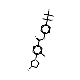 O=C(Nc1ccc(C(F)(F)C(F)(F)Cl)cc1)c1cnc(N2CC[C@@H](O)C2)c(Br)c1